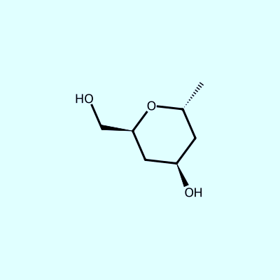 C[C@@H]1C[C@@H](O)C[C@@H](CO)O1